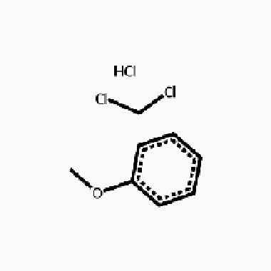 COc1ccccc1.Cl.ClCCl